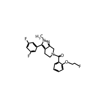 Cn1nc2c(c1-c1cc(F)cc(F)c1)CCN(C(=O)c1ccccc1OCCF)C2